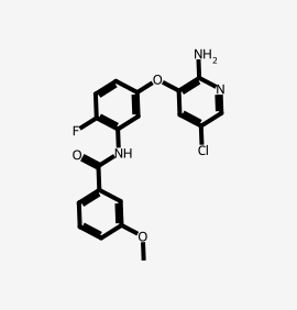 COc1cccc(C(=O)Nc2cc(Oc3cc(Cl)cnc3N)ccc2F)c1